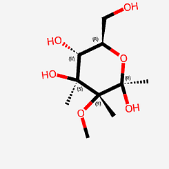 CO[C@]1(C)[C@@](C)(O)[C@H](O)[C@@H](CO)O[C@@]1(C)O